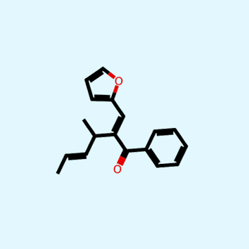 CC=CC(C)C(=Cc1ccco1)C(=O)c1ccccc1